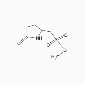 COS(=O)(=O)CC1CCC(=O)N1